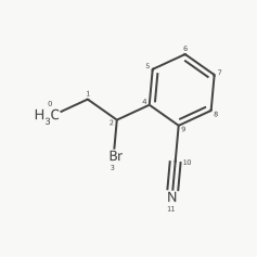 CCC(Br)c1ccccc1C#N